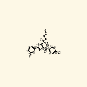 COCCS(=O)(=O)c1sc(-c2cccc(F)c2)nc1S(=O)(=O)c1ccc(Cl)cc1